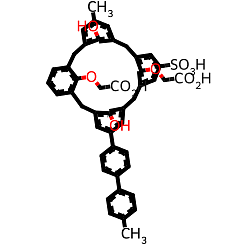 Cc1ccc(-c2ccc(-c3cc4c(O)c(c3)Cc3cc(S(=O)(=O)O)cc(c3OCC(=O)O)Cc3cc(C)cc(c3O)Cc3cccc(c3OCC(=O)O)C4)cc2)cc1